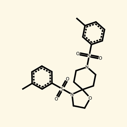 Cc1cccc(S(=O)(=O)N2CCC3(CC2)OCCN3S(=O)(=O)c2cccc(C)c2)c1